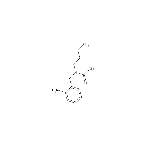 CCCCN(Cc1ccccc1N)C(=O)O